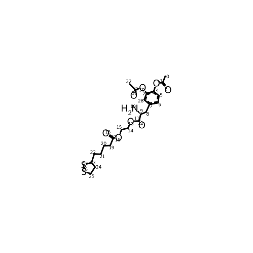 CC(=O)Oc1ccc(C[C@H](N)C(=O)OCCOC(=O)CCCCC2CCSS2)cc1OC(C)=O